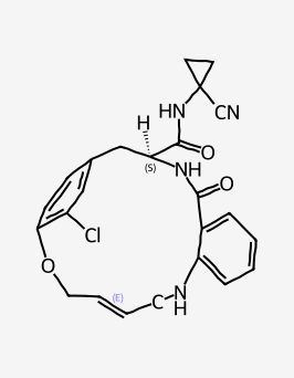 N#CC1(NC(=O)[C@@H]2Cc3ccc(c(Cl)c3)OC/C=C/CNc3ccccc3C(=O)N2)CC1